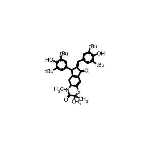 CN1C(=O)C(C)(C)SC2=CC3=C(CC21)C(c1cc(C(C)(C)C)c(O)c(C(C)(C)C)c1)C(=Cc1cc(C(C)(C)C)c(O)c(C(C)(C)C)c1)C3=O